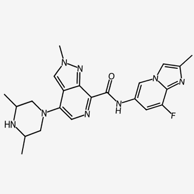 Cc1cn2cc(NC(=O)c3ncc(N4CC(C)NC(C)C4)c4cn(C)nc34)cc(F)c2n1